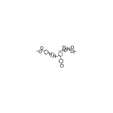 CCOC(=O)c1ccc(N2CCN(CC3=C(c4ccc(Cl)cc4)CCC(C)(CN4CC5[C@@H]4CN5C(=O)OC(C)(C)C)C3)CC2)cc1